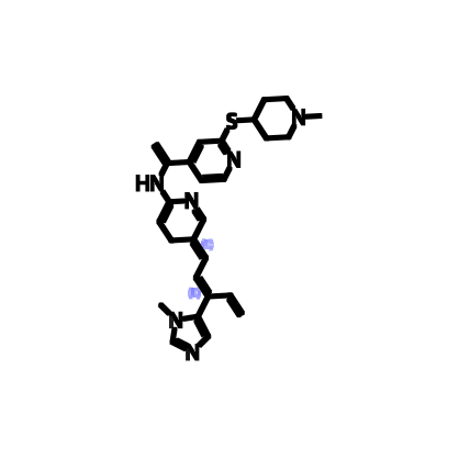 C=C/C(=C\C=C1\C=NC(NC(=C)c2ccnc(SC3CCN(C)CC3)c2)=CC1)c1cncn1C